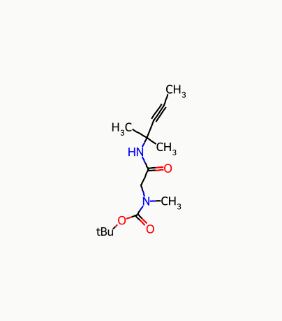 CC#CC(C)(C)NC(=O)CN(C)C(=O)OC(C)(C)C